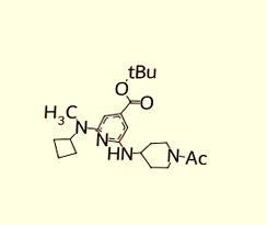 CC(=O)N1CCC(Nc2cc(C(=O)OC(C)(C)C)cc(N(C)C3CCC3)n2)CC1